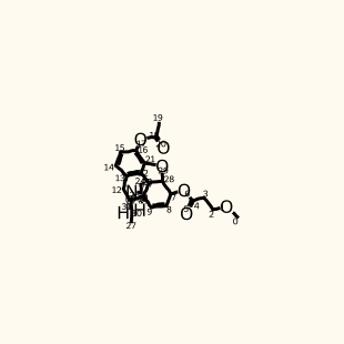 COCCC(=O)OC1C=C[C@H]2[C@H]3Cc4ccc(OC(C)=O)c5c4[C@@]2(CCN3C)C1O5